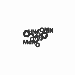 CNC(=O)[C@@H](Cc1ccc(C#N)cc1)NC(=O)[C@@H](NC(=O)COC)c1ccccc1